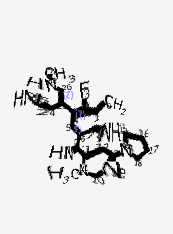 C=C/C(F)=C(\C=C(/CN)C(=N)C1=CC(N2CCCC2)=NCN1C)C(/C=N)=C/NC